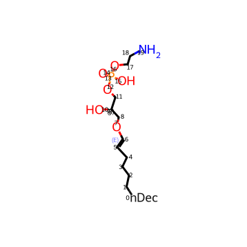 CCCCCCCCCCCCCC/C=C/OC[C@@H](O)COP(=O)(O)OCCN